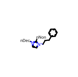 CCCCCCCCCCn1cc[n+](CCCc2ccccc2)c1CCCCCCCCC